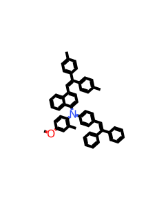 COc1ccc(N(c2ccc(C=C(c3ccccc3)c3ccccc3)cc2)c2ccc(C=C(c3ccc(C)cc3)c3ccc(C)cc3)c3ccccc23)c(C)c1